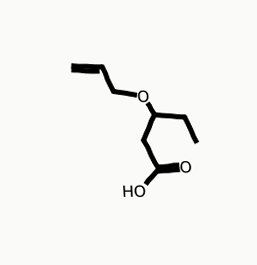 C=CCOC(CC)CC(=O)O